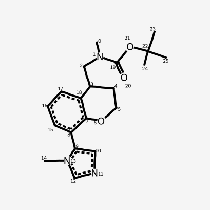 CN(CC1CCOc2c(-c3cncn3C)cccc21)C(=O)OC(C)(C)C